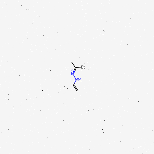 C=CN/N=C(/C)CC